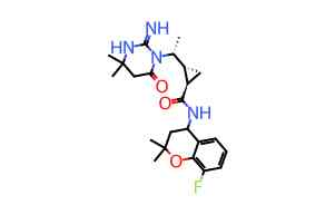 C[C@H]([C@@H]1C[C@H]1C(=O)NC1CC(C)(C)Oc2c(F)cccc21)N1C(=N)NC(C)(C)CC1=O